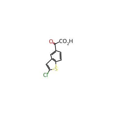 O=C(O)C(=O)c1ccc2sc(Cl)cc2c1